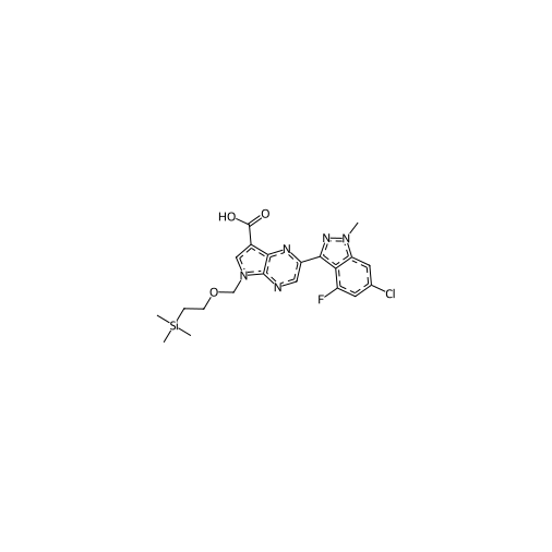 Cn1nc(-c2cnc3c(n2)c(C(=O)O)cn3COCC[Si](C)(C)C)c2c(F)cc(Cl)cc21